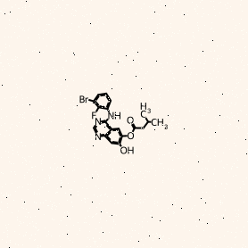 CC(C)CC(=O)Oc1cc2c(Nc3cccc(Br)c3F)ncnc2cc1O